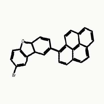 Brc1ccc2c(c1)C1C=C(c3ccc4ccc5cccc6ccc3c4c56)C=CC1O2